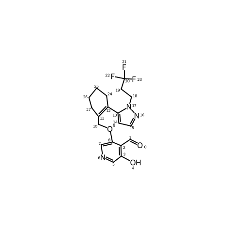 O=Cc1c(O)cncc1OCC1=C(c2ccnn2CCC(F)(F)F)CCCC1